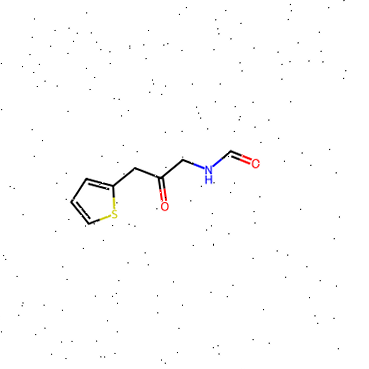 O=CN[CH]C(=O)Cc1cccs1